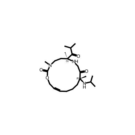 CC(C)N[C@]1(C)CCCC=CCOC(=O)N(C)CC[C@@](C)(C(=O)C(C)C)NCC1=O